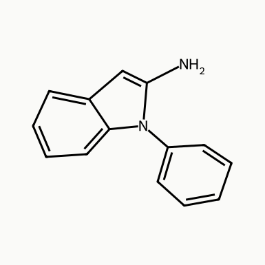 Nc1cc2ccccc2n1-c1ccccc1